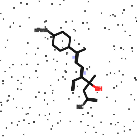 C=C/C(=C\C=C(/C)C1CCC(CCCCC)CC1)C(C)(O)CC(=C)C#N